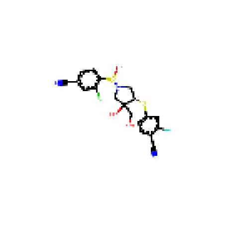 N#Cc1ccc([S+]([O-])N2C[C@H](Sc3ccc(C#N)c(F)c3)C(O)(CO)C2)c(Cl)c1